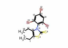 CCc1sc(=S)n(-c2c(Br)cc(Br)cc2Br)c1CC